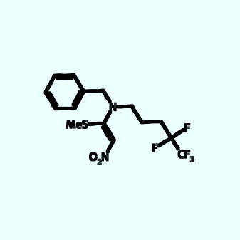 CS/C(=C\[N+](=O)[O-])N(CCCC(F)(F)C(F)(F)F)Cc1ccccc1